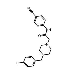 N#Cc1ccc(NC(=O)CN2CCC(Cc3ccc(F)cc3)CC2)cc1